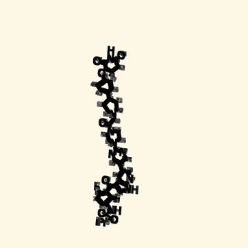 CC(C)S(=O)(=O)Nc1ccc(F)c(C(=O)c2c[nH]c3ncc(-c4cnc(N5CCN(C(=O)CN6CCC(c7ccc(OC8CCC(=O)NC8=O)cc7)CC6)CC5)nc4)cc23)c1F